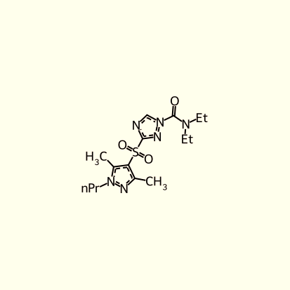 CCCn1nc(C)c(S(=O)(=O)c2ncn(C(=O)N(CC)CC)n2)c1C